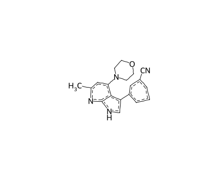 Cc1cc(N2CCOCC2)c2c(-c3cccc(C#N)c3)c[nH]c2n1